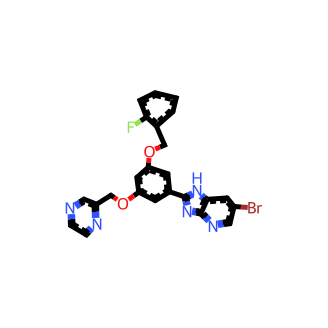 Fc1ccccc1COc1cc(OCc2cnccn2)cc(-c2nc3ncc(Br)cc3[nH]2)c1